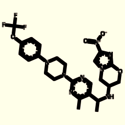 Cc1nc(N2CCN(c3ccc(OC(F)(F)F)cc3)CC2)ncc1C(C)NC1COc2nc([N+](=O)[O-])cn2C1